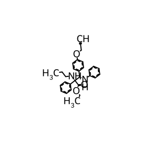 C#CCOc1ccc([C@H](Nc2ccccc2)[C@](NCCC)(C(=O)OCC)c2ccccc2)cc1